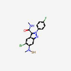 CNC(=O)c1c2cc(Br)c(N(C)S)cc2nn1-c1ccc(F)cc1